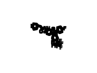 CC1(NC(=O)Cc2ccncc2)CCC(c2ccc(C(F)(C(F)(F)F)C(F)(F)F)cc2)(S(=O)(=O)c2ccc(F)cc2)CC1